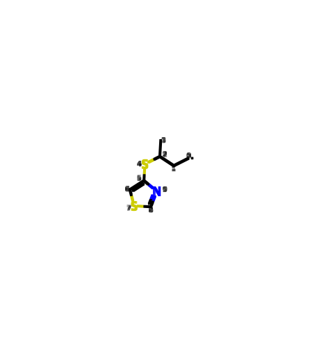 [CH2]CC(C)Sc1cscn1